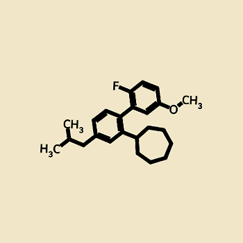 COc1ccc(F)c(-c2ccc(CC(C)C)cc2C2CCCCCC2)c1